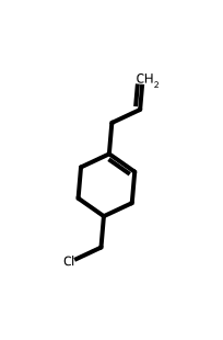 C=CCC1=CCC(CCl)CC1